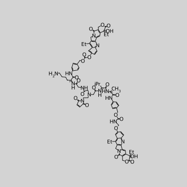 CCc1c2c(nc3ccc(OCNC(=O)OCc4ccc(NC(=O)[C@H](C)NC(=O)[C@@H](NC(=O)CN(CCN5C(=O)C=CC5=O)CC(=O)NCC(=O)N[C@@H](CCCCN)C(=O)Nc5ccc(COC(=O)Oc6ccc7nc8c(c(CC)c7c6)Cn6c-8cc7c(c6=O)COC(=O)[C@]7(O)CC)cc5)C(C)C)cc4)cc13)-c1cc3c(c(=O)n1C2)COC(=O)[C@]3(O)CC